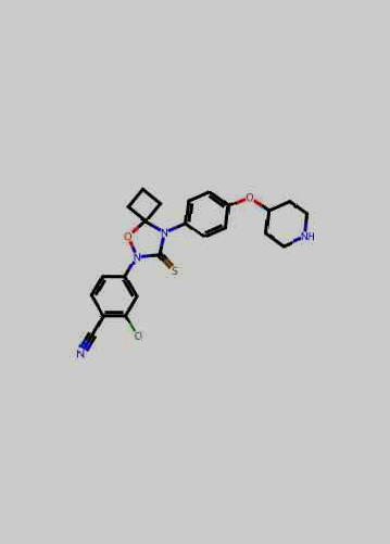 N#Cc1ccc(N2OC3(CCC3)N(c3ccc(OC4CCNCC4)cc3)C2=S)cc1Cl